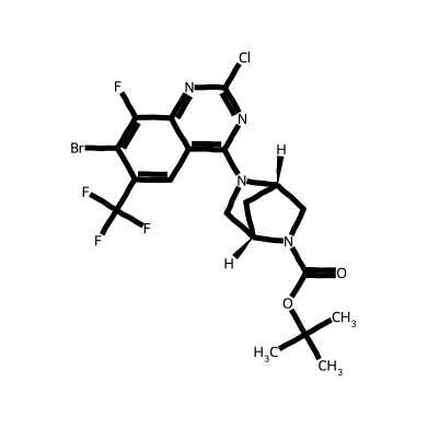 CC(C)(C)OC(=O)N1C[C@@H]2C[C@H]1CN2c1nc(Cl)nc2c(F)c(Br)c(C(F)(F)F)cc12